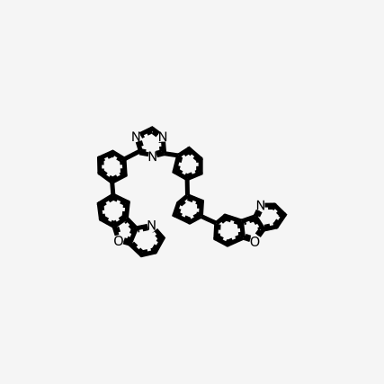 c1cc(-c2cccc(-c3ncnc(-c4cccc(-c5ccc6oc7cccnc7c6c5)c4)n3)c2)cc(-c2ccc3oc4cccnc4c3c2)c1